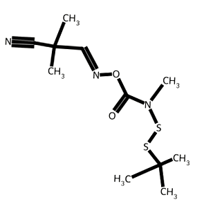 CN(SSC(C)(C)C)C(=O)ON=CC(C)(C)C#N